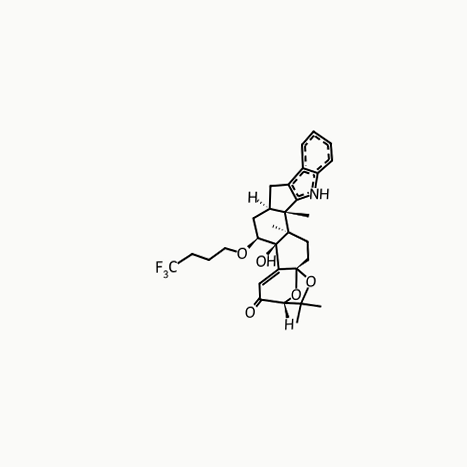 CC1(C)O[C@@]23CC[C@]4(C)[C@@]5(C)c6[nH]c7ccccc7c6C[C@@H]5C[C@H](OCCCC(F)(F)F)[C@@]4(O)C2=CC(=O)[C@@H]1O3